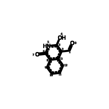 O=Cc1c(O)[nH]c(=O)c2ccccc12